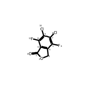 O=C1OCc2c(F)c(Cl)c(Cl)c(F)c21